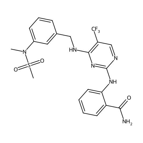 CN(c1cccc(CNc2nc(Nc3ccccc3C(N)=O)ncc2C(F)(F)F)c1)S(C)(=O)=O